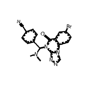 CN(C)C(c1ccc(C#N)cc1)n1c(=O)c2cc(Br)ccc2n2cnnc12